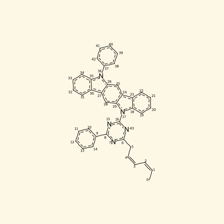 C/C=C\C=C/Cc1nc(-c2ccccc2)nc(-n2c3ccccc3c3cc4c(cc32)c2ccccc2n4-c2ccccc2)n1